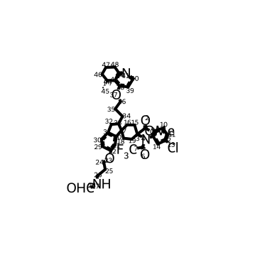 COC(=O)C1(N(C(=O)C(F)(F)F)c2cccc(Cl)c2)CCC2(CC1)c1cc(OCCCNC=O)ccc1CC2CCCOc1ccnc2c1[C@H](C)CCC2